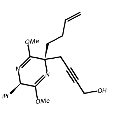 C=CCC[C@@]1(CC#CCO)N=C(OC)[C@@H](C(C)C)N=C1OC